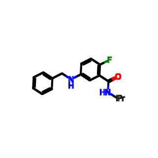 CC(C)NC(=O)c1cc(NCc2ccccc2)ccc1F